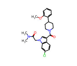 COc1ccccc1C1CCN(C(=O)c2cn(CC(=O)N(C)C)c3cc(Cl)ccc23)CC1